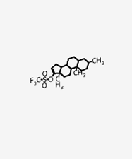 C[C@H]1CC[C@@]2(C)C(CCC3C2CC[C@]2(C)C(OS(=O)(=O)C(F)(F)F)=CCC32)C1